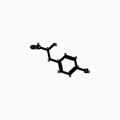 CC([C]=O)Cc1ccc(Cl)cc1